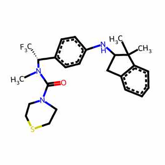 CN(C(=O)N1CCSCC1)[C@@H](c1ccc(NC2Cc3ccccc3C2(C)C)cc1)C(F)(F)F